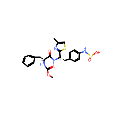 COC(=O)N[C@@H](Cc1ccccc1)C(=O)N[C@@H](Cc1ccc(NS(=O)O)cc1)c1nc(C)cs1